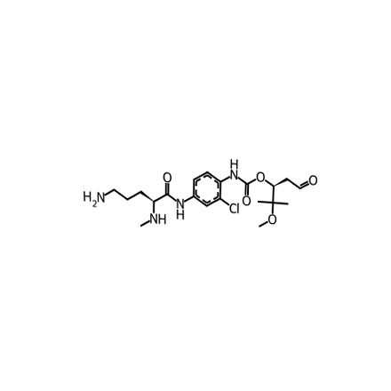 CN[C@@H](CCCN)C(=O)Nc1ccc(NC(=O)O[C@@H](CC=O)C(C)(C)OC)c(Cl)c1